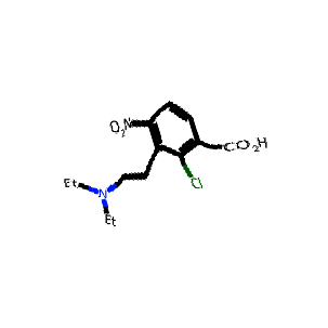 CCN(CC)CCc1c([N+](=O)[O-])ccc(C(=O)O)c1Cl